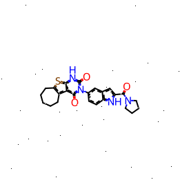 O=C(c1cc2cc(-n3c(=O)[nH]c4sc5c(c4c3=O)CCCCC5)ccc2[nH]1)N1CCCC1